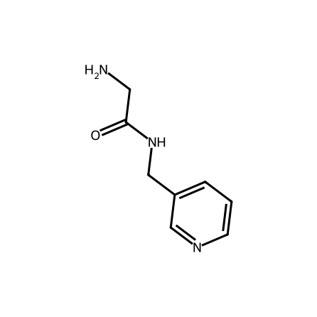 NCC(=O)NCc1cccnc1